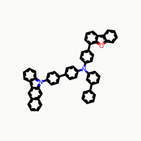 c1ccc(-c2cccc(N(c3ccc(-c4ccc(-n5c6ccccc6c6cc7ccccc7cc65)cc4)cc3)c3ccc(-c4cccc5c4oc4ccccc45)cc3)c2)cc1